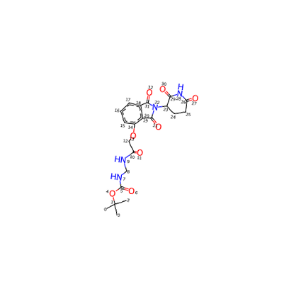 CC(C)(C)OC(=O)NCNC(=O)COc1cccc2c1C(=O)N(C1CCC(=O)NC1=O)C2=O